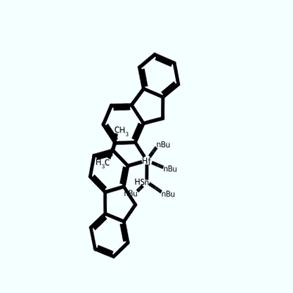 CCC[CH2][SnH]([CH2]CCC)[Hf]([CH2]CCC)([CH2]CCC)([c]1c(C)ccc2c1Cc1ccccc1-2)[c]1c(C)ccc2c1Cc1ccccc1-2